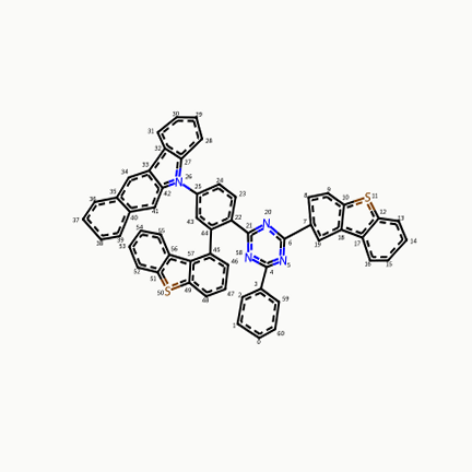 c1ccc(-c2nc(-c3ccc4sc5ccccc5c4c3)nc(-c3ccc(-n4c5ccccc5c5cc6ccccc6cc54)cc3-c3cccc4sc5ccccc5c34)n2)cc1